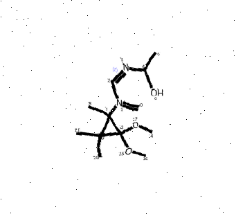 C=[N+](/C=N\C(C)O)C1(C)C(C)(C)C1(OC)OC